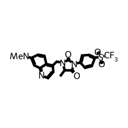 CNc1ccc2c(CN3C(=O)N(c4ccc(S(=O)(=O)C(F)(F)F)cc4)C(=O)C3C)ccnc2c1